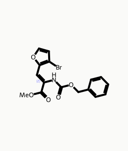 COC(=O)/C(=C/c1occc1Br)NC(=O)OCc1ccccc1